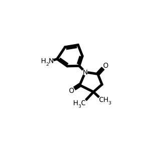 CC1(C)CC(=O)N(c2cccc(N)c2)C1=O